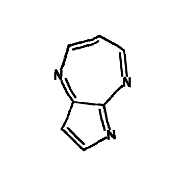 c1cnc2ccnc-2nc1